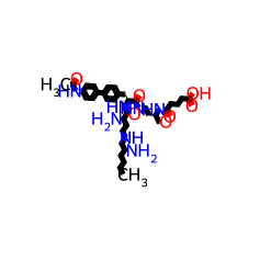 CCCC[C@H](N)CNCC[C@H](N)C(=O)N[C@H](Cc1ccc(-c2ccc(NC(C)=O)cc2)cc1)C(=O)NCC[C@H](C=O)NC(=O)CCCC(=O)O